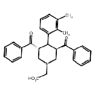 Cc1cccc(C2[C@@H](C(=O)c3ccccc3)CN(CC(=O)O)C[C@@H]2C(=O)c2ccccc2)c1C